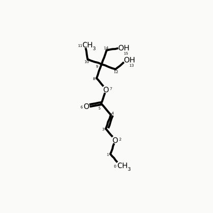 CCOC=CC(=O)OCC(CC)(CO)CO